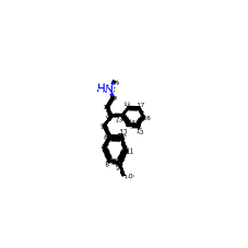 CNCCC(Cc1ccc(C)cc1)c1ccccc1